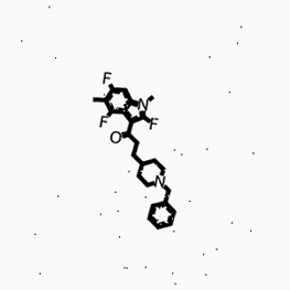 Cc1c(F)cc2c(c1F)c(C(=O)CCC1CCN(Cc3ccccc3)CC1)c(F)n2C